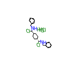 Cl.Cl.ClC(NCc1ccccc1)[C@H]1CC[C@H](C(Cl)NCc2ccccc2)CC1